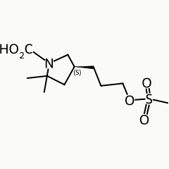 CC1(C)C[C@H](CCCOS(C)(=O)=O)CN1C(=O)O